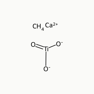 C.[Ca+2].[O]=[Ti]([O-])[O-]